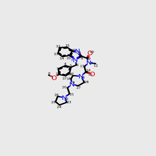 COc1ccc(Cn2c(C(=O)N(C)CC(=O)N3CCN(CCN4CCCC4)CC3)nc3ccccc32)cc1